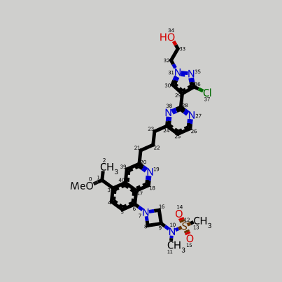 COC(C)c1ccc(N2CC(N(C)S(C)(=O)=O)C2)c2cnc(CCCc3ccnc(-c4cn(CCO)nc4Cl)n3)cc12